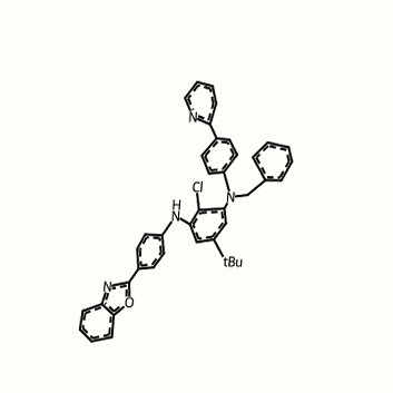 CC(C)(C)c1cc(Nc2ccc(-c3nc4ccccc4o3)cc2)c(Cl)c(N(Cc2ccccc2)c2ccc(-c3ccccn3)cc2)c1